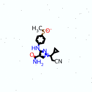 C[S+]([O-])c1ccc(Nc2nn(C(CC#N)C3CC3)cc2C(N)=O)cc1